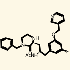 CC(=O)N[C@@H](Cc1cc(F)cc(OCc2cccnc2)c1)C[C@@H]1NCCN(Cc2ccccc2)C1=O